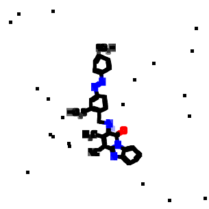 CC1=C(C#N)c2nc3ccccc3n2C(=O)/C1=N/Cc1ccc(N=Nc2ccc(S(=O)(=O)O)cc2)cc1S(=O)(=O)O